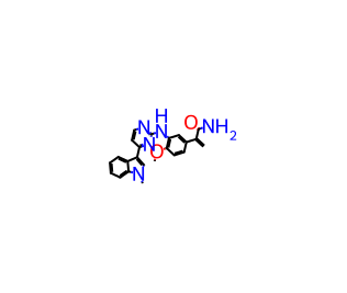 C=C(C(N)=O)c1ccc(OC)c(Nc2nccc(-c3cn(C)c4ccccc34)n2)c1